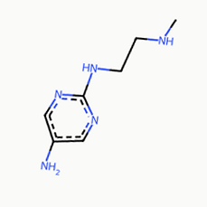 CNCCNc1ncc(N)cn1